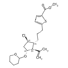 C=C(C)[C@@H]1[C@@H](CCCc2ccc(C(=O)OC)s2)[C@H](Cl)C[C@H]1OC1CCCCO1